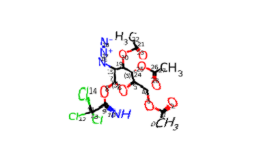 CC(=O)OCC1O[C@@H](OC(=N)C(Cl)(Cl)Cl)C(N=[N+]=[N-])C(OC(C)=O)[C@@H]1OC(C)=O